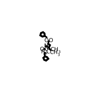 CC(C)(c1cc(C(=O)OCc2ccccc2)nn1C(=O)OCc1ccccc1)C(F)(F)F